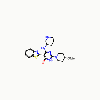 COC1CCN(c2nc(NC3CCCNC3)c(-c3nc4ccccc4s3)c(=O)[nH]2)CC1